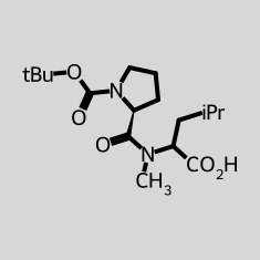 CC(C)CC(C(=O)O)N(C)C(=O)[C@@H]1CCCN1C(=O)OC(C)(C)C